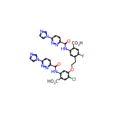 O=C(Nc1cc(CCOc2cc(NC(=O)c3ccc(-n4ccnc4)nn3)c(C(=O)O)cc2Cl)c(F)cc1C(=O)O)c1ccc(-n2ccnc2)nn1